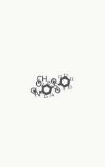 COc1cc(S(=O)(=O)c2ccccc2)ccc1N=O